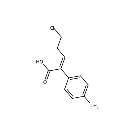 Cc1ccc(C(=CCCCl)C(=O)O)cc1